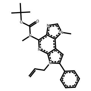 C=CCn1c(-c2ccccc2)cc2c3c(ncn3C)c(N(C)C(=O)OC(C)(C)C)nc21